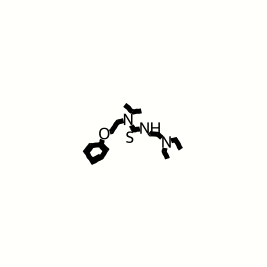 CCN(CC)CCNC(=S)N(CCOc1ccccc1)C(C)C